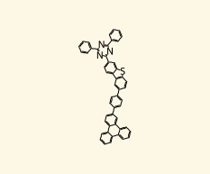 c1ccc(-c2nc(-c3ccccc3)nc(-c3ccc4c(c3)sc3ccc(-c5ccc(-c6ccc7c8ccccc8c8ccccc8c7c6)cc5)cc34)n2)cc1